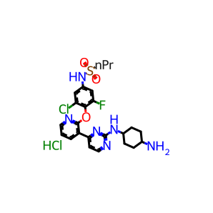 CCCS(=O)(=O)Nc1cc(F)c(Oc2ncccc2-c2ccnc(NC3CCC(N)CC3)n2)c(Cl)c1.Cl